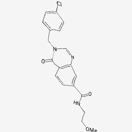 COCCNC(=O)c1ccc2c(=O)n(Cc3ccc(Cl)cc3)cnc2c1